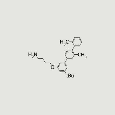 Cc1ccccc1-c1ccc(-c2cc(OCCCCN)cc(C(C)(C)C)c2)cc1C